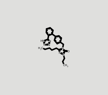 CCCCCc1nn(CCC)c(=O)n1Cc1ccc(-c2ccccc2-c2nnn[nH]2)cc1